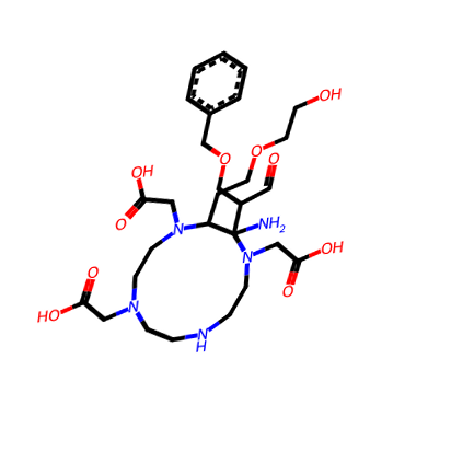 NC1(C(C=O)COCc2ccccc2)C(CCOCCO)N(CC(=O)O)CCN(CC(=O)O)CCNCCN1CC(=O)O